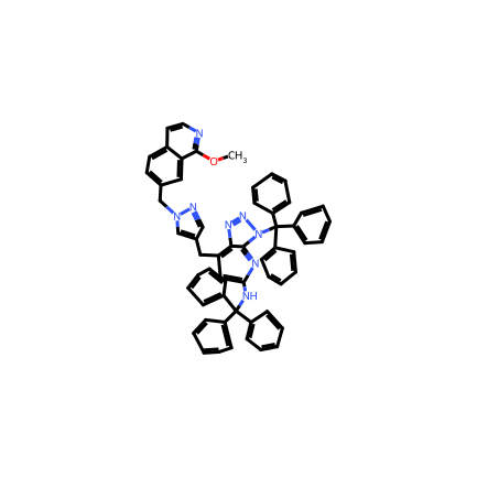 COc1nccc2ccc(Cn3cc(Cc4cc(NC(c5ccccc5)(c5ccccc5)c5ccccc5)nc5c4nnn5C(c4ccccc4)(c4ccccc4)c4ccccc4)cn3)cc12